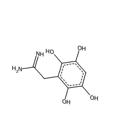 N=C(N)Cc1c(O)c(O)cc(O)c1O